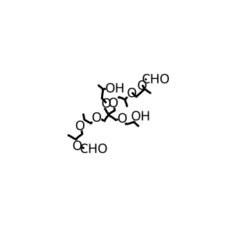 CC(O)COCC(COCC(C)O)(COCC(C)OCC(C)OC=O)COCC(C)OCC(C)OC=O